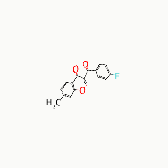 Cc1ccc2c(=O)c(C(=O)c3ccc(F)cc3)coc2c1